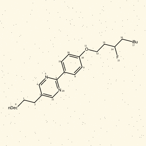 CCCCCCCCCCCCc1cnc(-c2ccc(OCCC(F)CC(C)CC)cc2)nc1